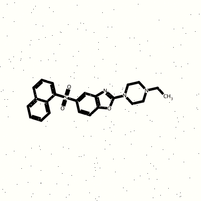 CCN1CCN(c2nc3cc(S(=O)(=O)c4cccc5ccccc45)ccc3o2)CC1